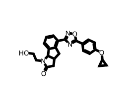 O=C1CC2Cc3c(-c4noc(-c5ccc(OC6CC6)cc5)n4)cccc3C2N1CCO